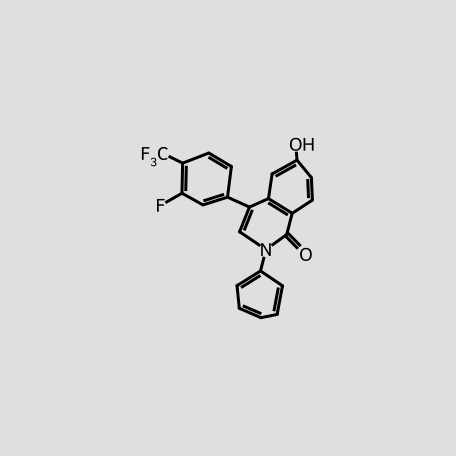 O=c1c2ccc(O)cc2c(-c2ccc(C(F)(F)F)c(F)c2)cn1-c1ccccc1